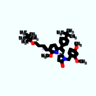 COc1ccc(CN2C(=O)CC[C@@H]2C=C(c2ccc(C(C)(C)C)cc2)c2ccc(/C=C/CCO[Si](C)(C)C(C)(C)C)c(OC)n2)c(OC)c1